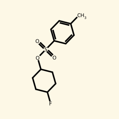 Cc1ccc(S(=O)(=O)OC2CCC(F)CC2)cc1